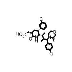 CC(C(C)[C@@H]1NC(=O)[C@@H](CC(=O)O)C[C@@H]1c1cccc(Cl)c1)C(c1ccc(Cl)cc1)N1CCOC[C@H]1C